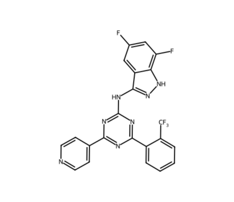 Fc1cc(F)c2[nH]nc(Nc3nc(-c4ccncc4)nc(-c4ccccc4C(F)(F)F)n3)c2c1